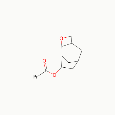 CC(C)C(=O)OC1CC2CC3COC3C1C2